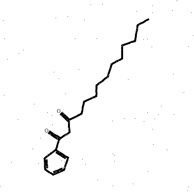 CCCCCCCCCCCC(=O)CC(=O)c1ccccc1